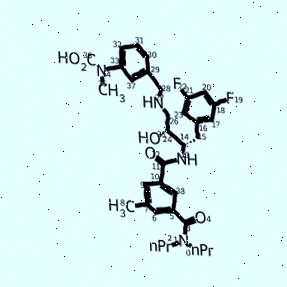 CCCN(CCC)C(=O)c1cc(C)cc(C(=O)N[C@@H](Cc2cc(F)cc(F)c2)[C@H](O)CNCc2cccc(N(C)C(=O)O)c2)c1